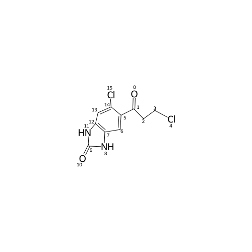 O=C(CCCl)c1cc2[nH]c(=O)[nH]c2cc1Cl